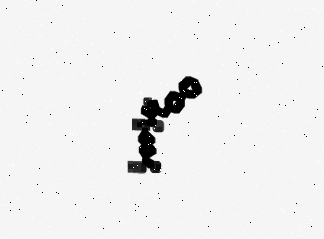 O=C(NC1CC2(C1)CC(C(=O)O)C2)c1cscc1Cc1ccc(-c2ccccc2)cc1